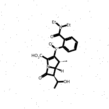 CCN(CC)C(=O)c1ccccc1[S+]([O-])C1=C(C(=O)O)N2C(=O)[C@H](C(C)O)[C@H]2[C@H]1C